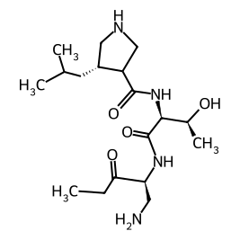 CCC(=O)[C@H](CN)NC(=O)[C@@H](NC(=O)C1CNC[C@H]1CC(C)C)[C@H](C)O